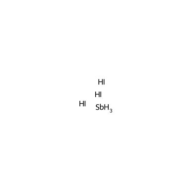 I.I.I.[SbH3]